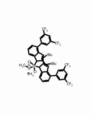 C[SiH](C)[Zr]([Cl])([Cl])([CH]1C(CC(C)(C)C)=Cc2c(-c3cc(C(F)(F)F)cc(C(F)(F)F)c3)cccc21)[CH]1C(CC(C)(C)C)=Cc2c(-c3cc(C(F)(F)F)cc(C(F)(F)F)c3)cccc21